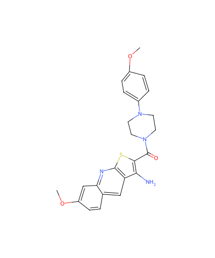 COc1ccc(N2CCN(C(=O)c3sc4nc5cc(OC)ccc5cc4c3N)CC2)cc1